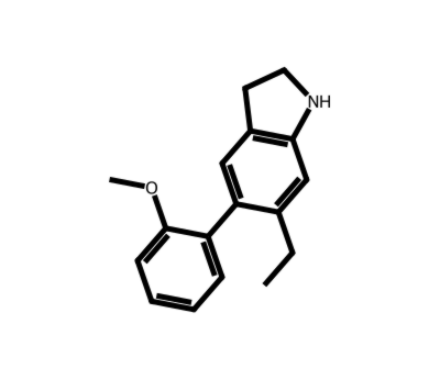 CCc1cc2c(cc1-c1ccccc1OC)CCN2